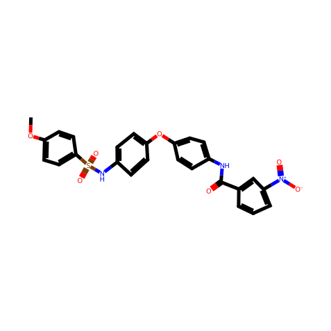 COc1ccc(S(=O)(=O)Nc2ccc(Oc3ccc(NC(=O)c4cccc([N+](=O)[O-])c4)cc3)cc2)cc1